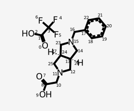 O=C(O)C(F)(F)F.O=C(O)CN1C[C@@H]2CN(Cc3ccccc3)C[C@@H]2C1